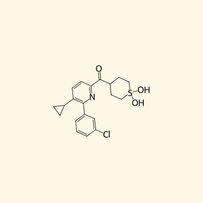 O=C(c1ccc(C2CC2)c(-c2cccc(Cl)c2)n1)C1CCS(O)(O)CC1